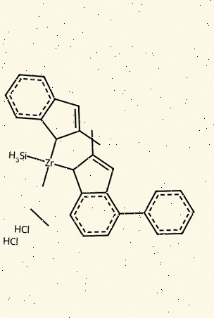 CC.CC1=Cc2ccccc2[CH]1[Zr]([CH3])([SiH3])[CH]1C(C)=Cc2c(-c3ccccc3)cccc21.Cl.Cl